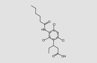 CCCCCC(=O)Nc1c(Cl)cc(Cl)c(C(CC)CC(=O)O)c1Cl